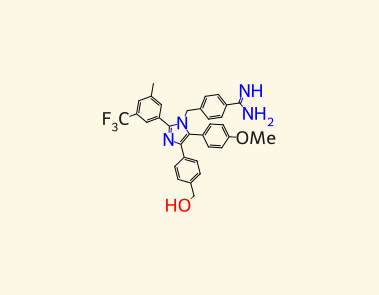 COc1ccc(-c2c(-c3ccc(CO)cc3)nc(-c3cc(C)cc(C(F)(F)F)c3)n2Cc2ccc(C(=N)N)cc2)cc1